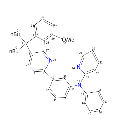 CCCCC1(CCCC)c2ccc(-c3cccc(N(c4ccccc4)c4ccccn4)c3)nc2-c2c(OC)cccc21